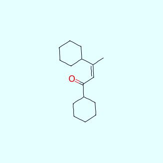 CC(=CC(=O)C1CCCCC1)C1CCCCC1